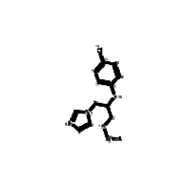 CCCCCSCC(Cn1ccnc1)Sc1ccc(Cl)cc1